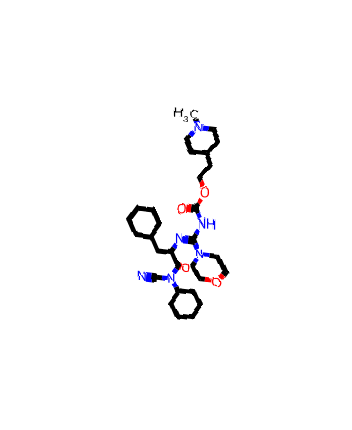 CN1CCC(CCOC(=O)NC(=NC(CC2CCCCC2)C(=O)N(C#N)C2CCCCC2)N2CCOCC2)CC1